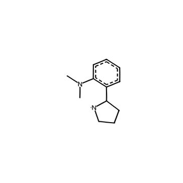 CN(C)c1ccccc1C1CCC[N]1